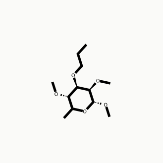 CCCO[C@H]1[C@@H](OC)[C@H](OC)OC(C)[C@@H]1OC